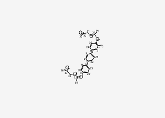 Cc1cc(-c2ccc(-c3ccc(OC(C)OCC4CO4)cc3)cc2)ccc1OC(C)OCC1CO1